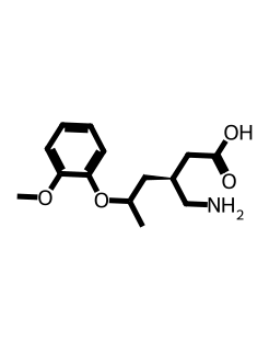 COc1ccccc1OC(C)C[C@H](CN)CC(=O)O